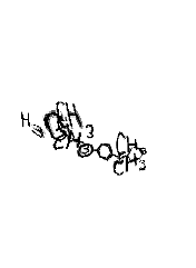 CC(C)(c1ccc(OCCC[Si](C)(C)C)cc1)C1C=CC=CC1